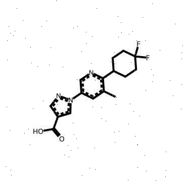 Cc1cc(-n2cc(C(=O)O)cn2)cnc1C1CCC(F)(F)CC1